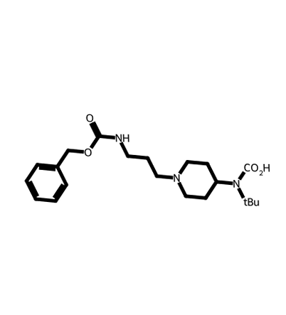 CC(C)(C)N(C(=O)O)C1CCN(CCCNC(=O)OCc2ccccc2)CC1